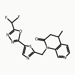 CC1CC(=O)N(Cc2ncc(-c3nnc(C(F)F)o3)s2)c2cnccc21